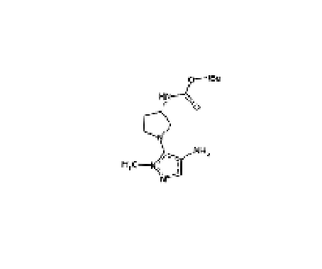 Cn1ncc(N)c1N1CC[C@H](NC(=O)OC(C)(C)C)C1